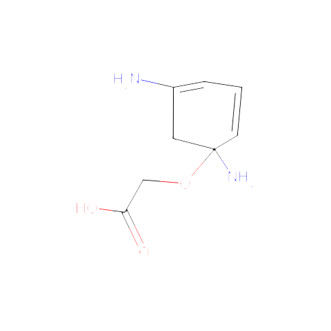 NC1=CC=CC(N)(OCC(=O)O)C1